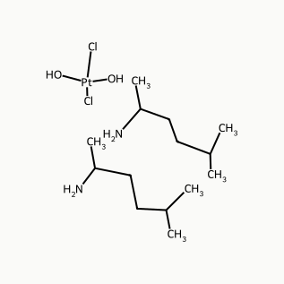 CC(C)CCC(C)N.CC(C)CCC(C)N.[OH][Pt]([OH])([Cl])[Cl]